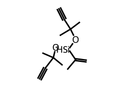 C#CC(C)(C)O[SiH](OC(C)(C)C#C)C(=C)C